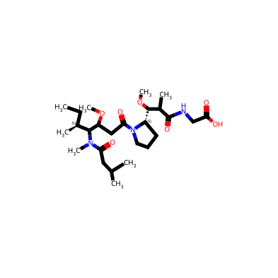 CC[C@H](C)C(C(CC(=O)N1CCC[C@H]1C(OC)C(C)C(=O)NCC(=O)O)OC)N(C)C(=O)CC(C)C